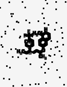 C=C1NC=Cc2cc(O[C@@H](C)CC[C@H](CC)N(CC)CCCC(F)(F)F)ccc21